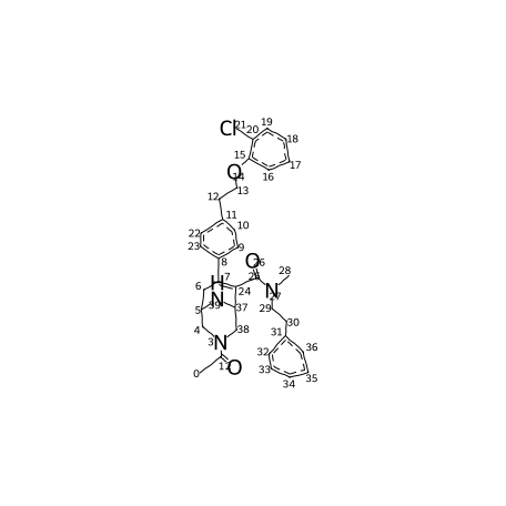 CC(=O)N1CC2CC(c3ccc(CCOc4ccccc4Cl)cc3)=C(C(=O)N(C)CCc3ccccc3)C(C1)N2